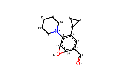 O=Cc1cc(C2CC2)c(N2CCCCC2)c2c1O2